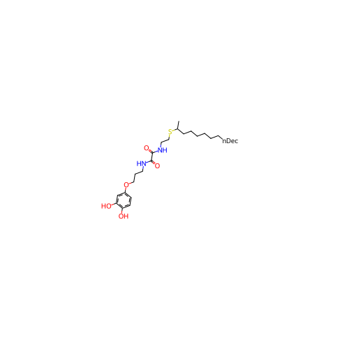 CCCCCCCCCCCCCCCCC(C)SCCNC(=O)C(=O)NCCCOc1ccc(O)c(O)c1